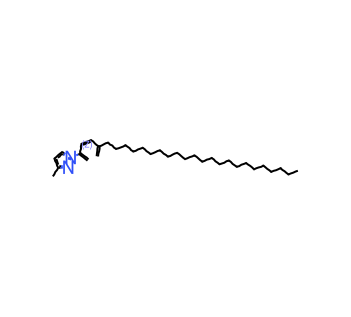 C=C(/C=C\C(=C)n1ccc(C)n1)CCCCCCCCCCCCCCCCCCCCCCC